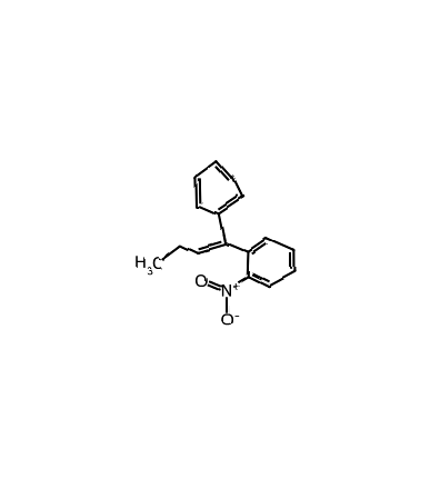 CCC=C(c1ccccc1)c1ccccc1[N+](=O)[O-]